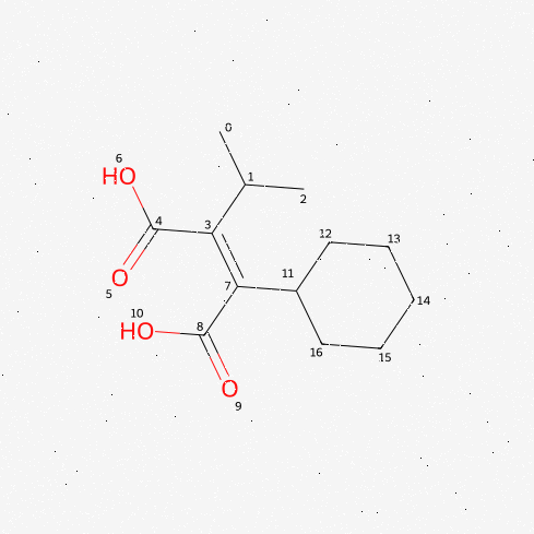 CC(C)/C(C(=O)O)=C(/C(=O)O)C1CCCCC1